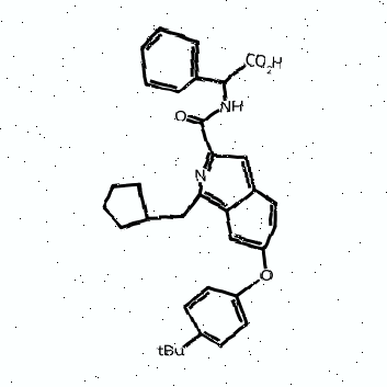 CC(C)(C)c1ccc(Oc2ccc3cc(C(=O)NC(C(=O)O)c4ccccc4)nc(CC4CCCC4)c3c2)cc1